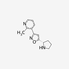 Cc1ncccc1-c1cc([C@@H]2CCCN2)on1